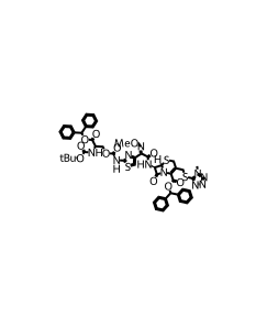 CO/N=C(/C(=O)N[C@@H]1C(=O)N2C(C(=O)OC(c3ccccc3)c3ccccc3)=C(CSc3nnnn3C)CS[C@H]12)c1csc(NC(=O)OCC(NC(=O)OC(C)(C)C)C(=O)OC(c2ccccc2)c2ccccc2)n1